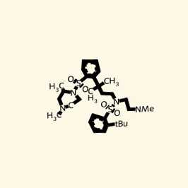 CNCCN(CCC(C)(C)c1ccccc1S(=O)(=O)N1CCN(C)CC1C)S(=O)(=O)c1ccccc1C(C)(C)C